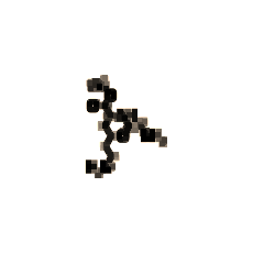 CC(C)(C)OC(=O)[C@H](CCCCN)NC(=O)CN